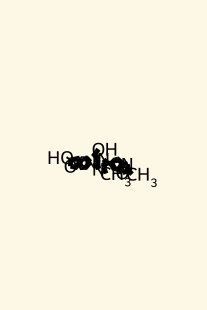 Cc1nc2ccc(-c3nc(CO)c(N4CCC5(CC4)CO[C@@H](O)C5)nc3C)cc2o1